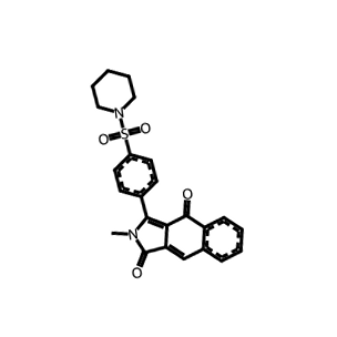 CN1C(=O)C2=Cc3ccccc3C(=O)C2=C1c1ccc(S(=O)(=O)N2CCCCC2)cc1